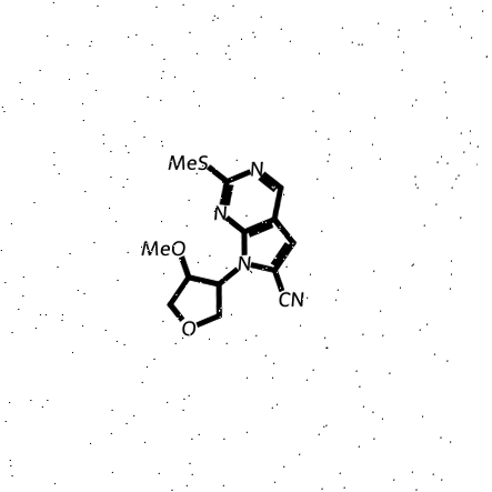 COC1COCC1n1c(C#N)cc2cnc(SC)nc21